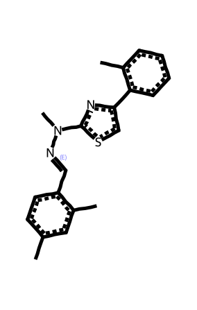 Cc1ccc(/C=N/N(C)c2nc(-c3ccccc3C)cs2)c(C)c1